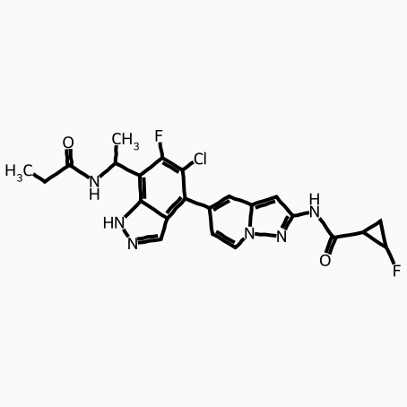 CCC(=O)NC(C)c1c(F)c(Cl)c(-c2ccn3nc(NC(=O)C4CC4F)cc3c2)c2cn[nH]c12